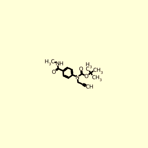 C#CCN(C(=O)OC(C)(C)C)c1ccc(C(=O)NC)cc1